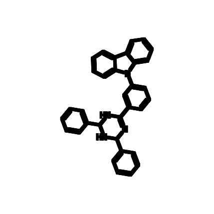 c1ccc(C2N=C(c3cccc(-n4c5ccccc5c5ccccc54)c3)NC(c3ccccc3)N2)cc1